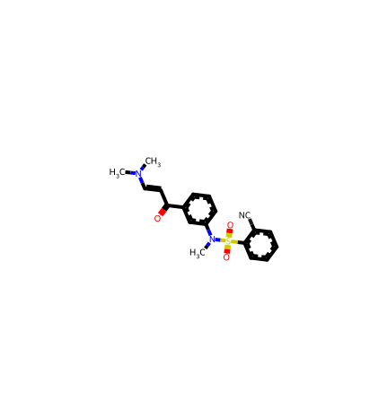 CN(C)C=CC(=O)c1cccc(N(C)S(=O)(=O)c2ccccc2C#N)c1